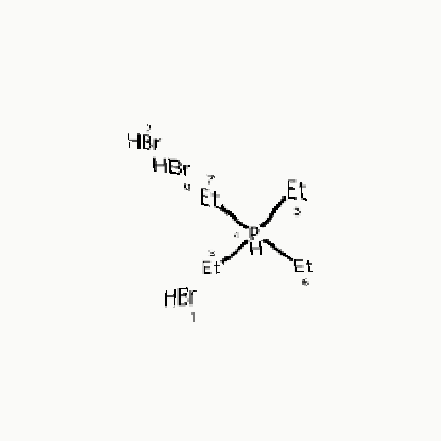 Br.Br.Br.CC[PH](CC)(CC)CC